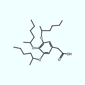 CCCCC(C)Oc1cc(CC(=O)O)cc(OC(C)CCCC)c1OC(C)CCCC